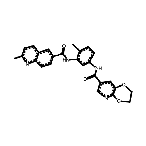 Cc1ccc2cc(C(=O)Nc3cc(NC(=O)c4cnc5c(c4)OCCO5)ccc3C)ccc2n1